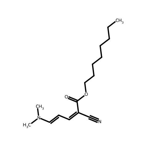 CCCCCCCCOC(=O)/C(C#N)=C\C=C\N(C)C